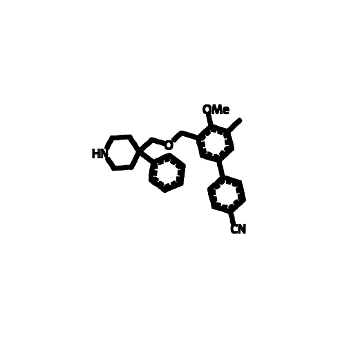 COc1c(C)cc(-c2ccc(C#N)cc2)cc1COCC1(c2ccccc2)CCNCC1